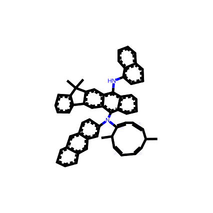 CC1/C=C\C=C/C(C)/C(N(c2ccc3cc4ccccc4cc3c2)c2c3ccccc3c(Nc3cccc4ccccc34)c3cc4c(cc23)-c2ccccc2C4(C)C)=C\C=C/1